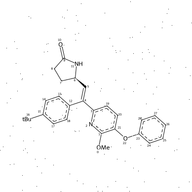 COc1nc(C(=C[C@H]2CCC(=O)N2)c2ccc(C(C)(C)C)cc2)ccc1Oc1ccccc1